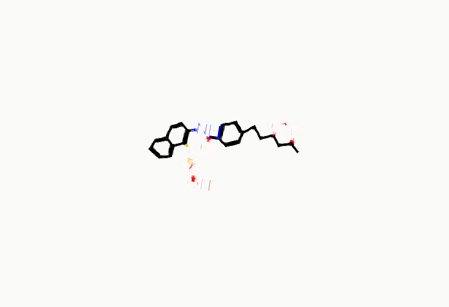 COC(CCc1ccc(C(=O)Nc2ccc3ccccc3c2SOOO)cc1)CC(C)=O